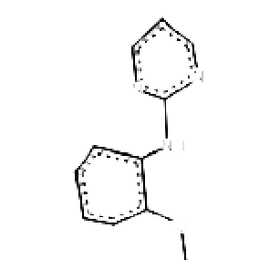 COc1ccccc1Nc1ncccn1